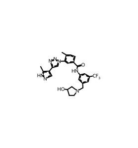 Cc1ccc(C(=O)Nc2cc(CN3CCC(O)C3)cc(C(F)(F)F)c2)cc1-n1cc(-c2cn[nH]c2C)nn1